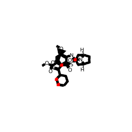 COC(=O)c1cc(OC)c2nc(N3[C@@H]4CC[C@H]3C[C@H](OC(=O)c3c(C56CCC(CC5)CC6)noc3C3CC3)C4)sc2c1